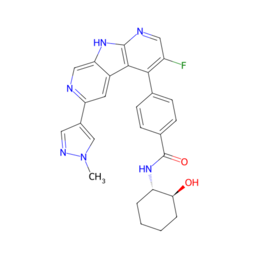 Cn1cc(-c2cc3c(cn2)[nH]c2ncc(F)c(-c4ccc(C(=O)N[C@H]5CCCC[C@@H]5O)cc4)c23)cn1